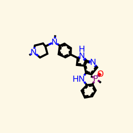 CN1CCC(N(C)c2ccc(-c3cc4c(Nc5ccccc5P(C)(C)=O)ccnc4[nH]3)cc2)CC1